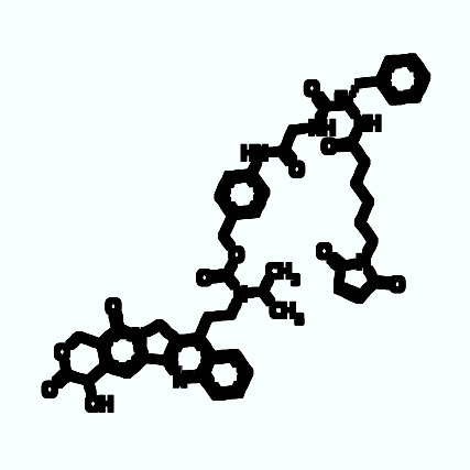 CC(C)N(CCc1c2c(nc3ccccc13)-c1cc3c(c(=O)n1C2)COC(=O)C3O)C(=O)OCc1ccc(NC(=O)CNC(=O)[C@H](Cc2ccccc2)NC(=O)CCCCCN2C(=O)C=CC2=O)cc1